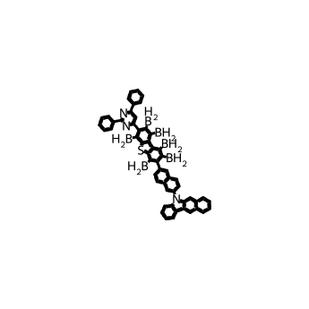 Bc1c(-c2ccc3cc(-n4c5ccccc5c5cc6ccccc6cc54)ccc3c2)c(B)c2sc3c(B)c(-c4cc(-c5ccccc5)nc(-c5ccccc5)n4)c(B)c(B)c3c2c1B